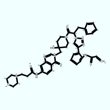 C=CC(=O)Nc1ccccc1-c1cn(C(Cc2ccccc2)C(=O)N2CCC(O)(Cn3cnc4cc(NC(=O)CCN5CCOCC5)ccc4c3=O)CC2)nn1